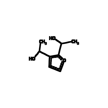 CC(O)c1ccoc1C(C)O